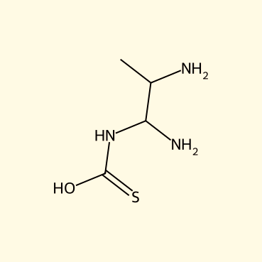 CC(N)C(N)NC(O)=S